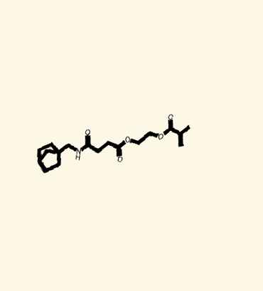 C=C(C)C(=O)OCCOC(=O)CCC(=O)NCC12CCC(CC1)C2